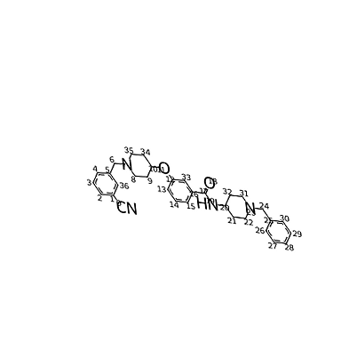 N#Cc1cccc(CN2CCC(Oc3cccc(C(=O)NC4CCN(Cc5ccccc5)CC4)c3)CC2)c1